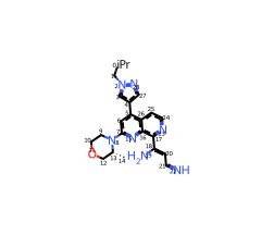 CC(C)Cn1cc(-c2cc(N3CCOC[C@H]3C)nc3c(/C(N)=C/C=N)nccc23)cn1